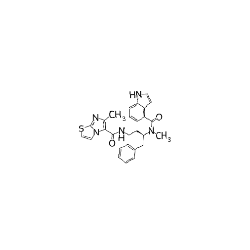 Cc1nc2sccn2c1C(=O)NCC[C@H](Cc1ccccc1)N(C)C(=O)c1cccc2[nH]ccc12